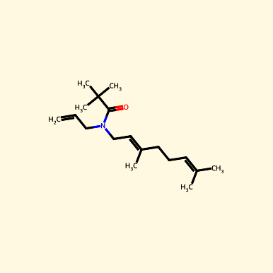 C=CCN(C/C=C(\C)CCC=C(C)C)C(=O)C(C)(C)C